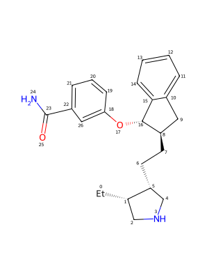 CC[C@H]1CNC[C@H]1CC[C@@H]1Cc2ccccc2[C@H]1Oc1cccc(C(N)=O)c1